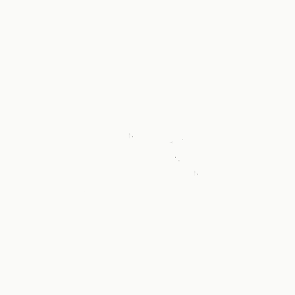 COc1cc(C(=O)Nc2nc3ccccc3s2)cc(SCCCc2ccccc2)n1